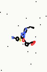 C#CCCCN1CCN(c2ncc(Sc3ccc(C#N)cc3)c(OCc3cccc(C=O)c3)n2)CC1